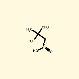 CC(C)(C=O)C[PH](=O)O